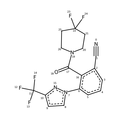 N#Cc1cccc(-n2ccc(C(F)(F)F)n2)c1C(=O)N1CCC(F)(F)CC1